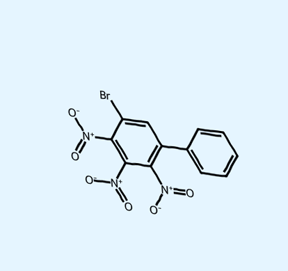 O=[N+]([O-])c1c(Br)cc(-c2ccccc2)c([N+](=O)[O-])c1[N+](=O)[O-]